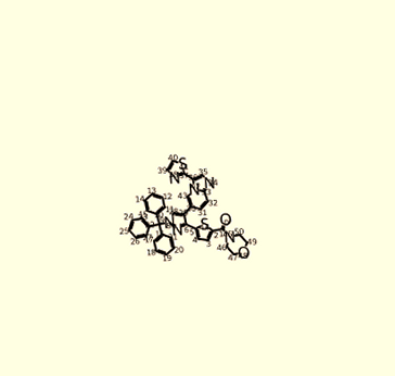 O=C(c1ccc(-c2nn(C(c3ccccc3)(c3ccccc3)c3ccccc3)cc2-c2ccc3ncc(-c4nccs4)n3c2)s1)N1CCOCC1